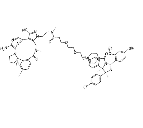 CCOc1cc(C(C)(C)C)ccc1C1=N[C@@](C)(c2ccc(Cl)cc2)[C@@](C)(c2ccc(Cl)cc2)N1C(=O)N1CCN(CCOCCOCCC(=O)N(C)CCn2nc(C#N)c3c2CN(C)C(=O)c2ccc(F)cc2[C@H]2CCCN2c2nc-3cnc2N)CC1